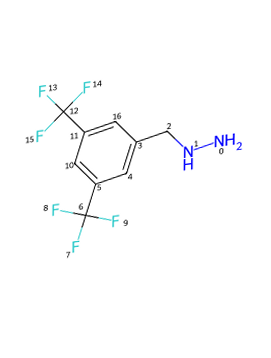 NNCc1cc(C(F)(F)F)cc(C(F)(F)F)c1